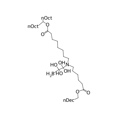 BC(O)(O)C(O)(O)N(CCCCCCCC(=O)OC(CCCCCCCC)CCCCCCCC)CCCCCC(=O)OCCCCCCCCCCC